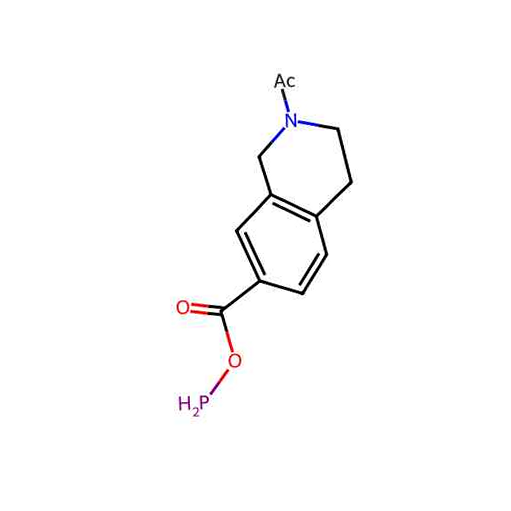 CC(=O)N1CCc2ccc(C(=O)OP)cc2C1